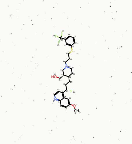 COc1ccc2nccc([C@@H](F)CC[C@@H]3CCN(CCCSc4cccc(C(F)(F)F)c4)C[C@@H]3CO)c2c1